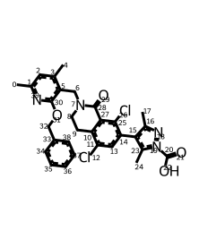 Cc1cc(C)c(CN2CCc3c(Cl)cc(-c4c(C)nn(C(=O)O)c4C)c(Cl)c3C2=O)c(OCc2ccccc2)n1